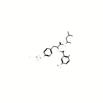 CC(C)CC(C)NC(=O)C(Cc1ccc(OP(=O)(O)O)cc1)NC(=O)c1cc([N+](=O)[O-])ccc1F